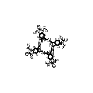 CCn1c(=O)n(C)c2cc3c(cc21)-c1nc-3nc2[nH]c(nc3nc(nc4[nH]c(n1)c1cc5c(cc41)n(CC)c(=O)n5C)-c1cc4c(cc1-3)n(CC)c(=O)n4C)c1cc3c(cc21)n(CC)c(=O)n3C